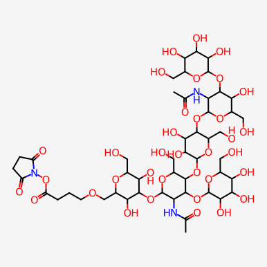 CC(=O)NC1C(OC2C(CO)OC(OC3C(CO)OC(OC4C(O)C(CO)OC(COCCCC(=O)ON5C(=O)CCC5=O)C4O)C(NC(C)=O)C3OC3OC(CO)C(O)C(O)C3O)C(O)C2O)OC(CO)C(O)C1OC1OC(CO)C(O)C(O)C1O